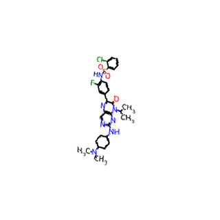 CC(C)n1c(=O)c(-c2ccc(NS(=O)(=O)c3ccccc3Cl)c(F)c2)nc2cnc(NC3CCC(N(C)C)CC3)nc21